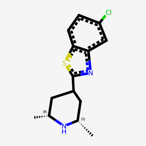 C[C@@H]1CC(c2nc3cc(Cl)ccc3s2)C[C@H](C)N1